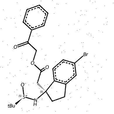 CC(C)(C)[S@@+]([O-])N[C@]1(CC(=O)OCC(=O)c2ccccc2)CCc2cc(Br)ccc21